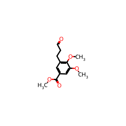 COC(=O)c1cc(CCC=O)c(OC)c(OC)c1